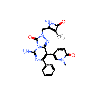 Cn1cc(-c2c(-c3ccccc3)nc(N)n3c(=O)n(CC4=C(C(F)(F)F)C(=O)N4)nc23)ccc1=O